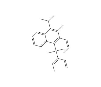 C=C/C(=C\C)C(C)(C)c1c(/C=C\C)c(C)c(C(C)C)c2ccccc12